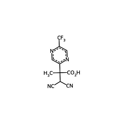 CC(C(=O)O)(c1cnc(C(F)(F)F)cn1)C(C#N)C#N